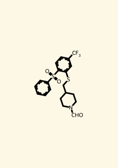 O=CN1CCC(CSc2cc(C(F)(F)F)ccc2S(=O)(=O)c2ccccc2)CC1